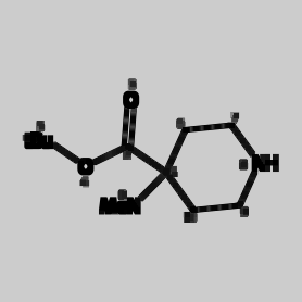 CNC1(C(=O)OC(C)(C)C)CCNCC1